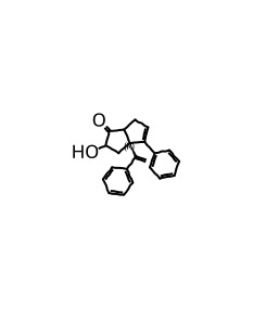 C=C(c1ccccc1)[C@@]12CC(O)C(=O)C1CC=C2c1ccccc1